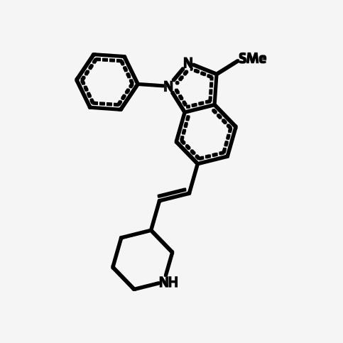 CSc1nn(-c2ccccc2)c2cc(C=CC3CCCNC3)ccc12